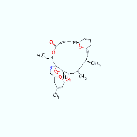 C=C1C[C@H](C)C[C@@H]2CC=C[C@@H](C/C=C\C(=O)O[C@H](CC)C[C@]3(/N=C\[C@@H]4CC(C)=CCO4)O[C@H]3[C@@H](O)C1)O2